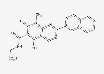 Cn1c(=O)c(C(=O)NCC(=O)O)c(O)c2cnc(-c3ccc4ccccc4c3)nc21